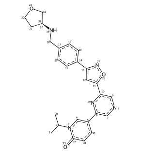 CC(C)n1cc(-c2cncc(-c3cc(-c4ccc(CN[C@H]5CCOC5)cc4)no3)n2)ccc1=O